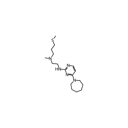 CSCCCN(C)CCNc1nccc(N2CCCCCC2)n1